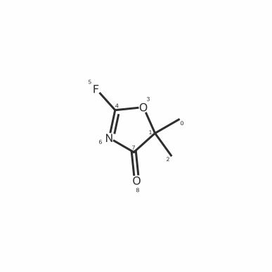 CC1(C)OC(F)=NC1=O